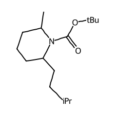 CC(C)CCC1CCCC(C)N1C(=O)OC(C)(C)C